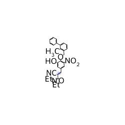 CCN(CC)C(=O)/C(C#N)=C/c1cc(O)c(OCc2cccc(-c3ccccc3)c2C)c([N+](=O)[O-])c1